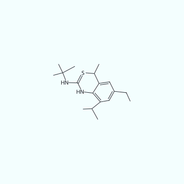 CCc1cc(C(C)C)c(NC(=S)NC(C)(C)C)c(C(C)C)c1